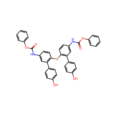 O=C(Nc1ccc(Sc2ccc(NC(=O)Oc3ccccc3)cc2-c2ccc(O)cc2)c(-c2ccc(O)cc2)c1)Oc1ccccc1